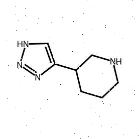 c1[nH]nnc1C1CCCNC1